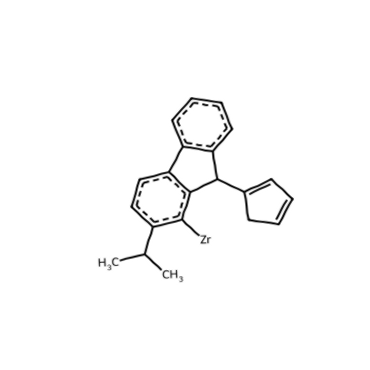 CC(C)c1ccc2c([c]1[Zr])C(C1=CC=CC1)c1ccccc1-2